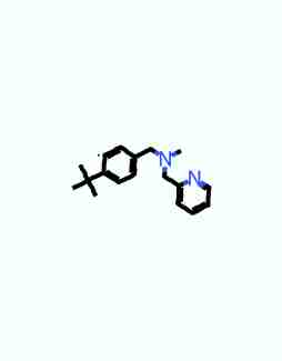 CN(Cc1c[c]c(C(C)(C)C)cc1)Cc1ccccn1